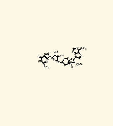 CO[C@H]1[C@H](n2cnc3c(N)ncnc32)OC23COC(OC4O[C@@H](n5cnc6c(=O)[nH]c(N)nc65)[C@H](O)[C@H]4F)CC2[C@@H]13